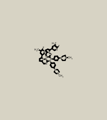 Cc1cc(-c2ccc3cnc(N(c4ccc(N5CCN(C)CC5)cc4)N(c4ccc(N5CCN(C)CC5)cc4)c4ncc5ccc(-c6cnc(F)c(C)c6)n5n4)nn23)cnc1F